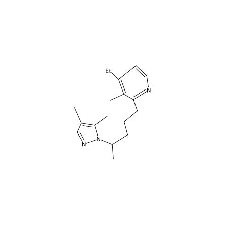 CCc1ccnc(CCCC(C)n2ncc(C)c2C)c1C